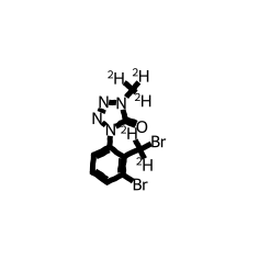 [2H]C([2H])(Br)c1c(Br)cccc1-n1nnn(C([2H])([2H])[2H])c1=O